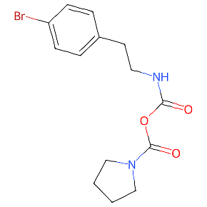 O=C(NCCc1ccc(Br)cc1)OC(=O)N1CCCC1